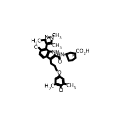 Cc1cc(OCCCc2c(C(=O)N[C@H]3CCC[C@@H](C(=O)O)C3)[nH]c3c(-c4c(C)nn(C)c4C)c(Cl)ccc23)cc(C)c1Cl